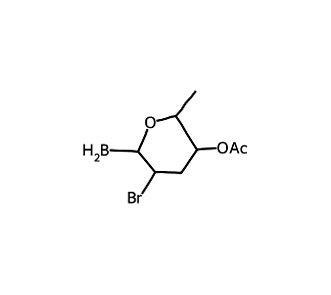 BC1OC(C)C(OC(C)=O)CC1Br